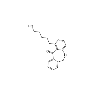 O=C1c2ccccc2COc2cccc(CCCCCO)c21